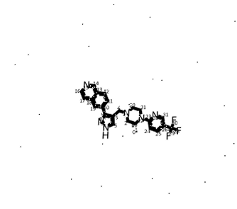 C[C@@H]1CN(Cc2c[nH]nc2-c2ccc3cnccc3c2)CCN1c1ccc(C(F)(F)F)cn1